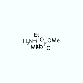 CCC(N)(CC)OP(=O)(OC)OC